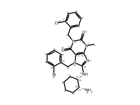 Cn1c(=O)n(Cc2ccccc2Cl)c(=O)c2c1nc(N[C@H]1CCCC[C@H]1N)n2Cc1ccccc1Br